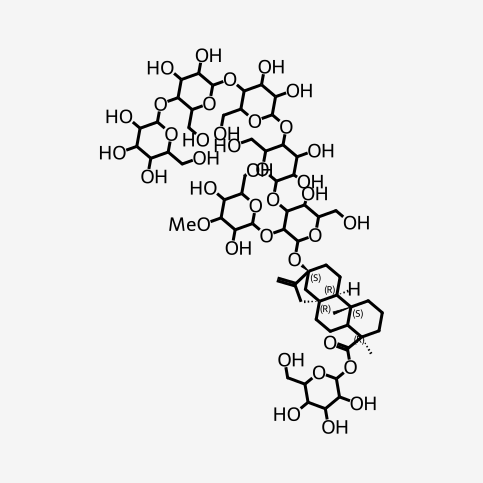 C=C1C[C@@]23CCC4[C@](C)(C(=O)OC5OC(CO)C(O)C(O)C5O)CCC[C@@]4(C)[C@@H]2CC[C@]1(OC1OC(CO)C(O)C(OC2OC(CO)C(OC4OC(CO)C(OC5OC(CO)C(OC6OC(CO)C(O)C(O)C6O)C(O)C5O)C(O)C4O)C(O)C2O)C1OC1OC(CO)C(O)C(OC)C1O)C3